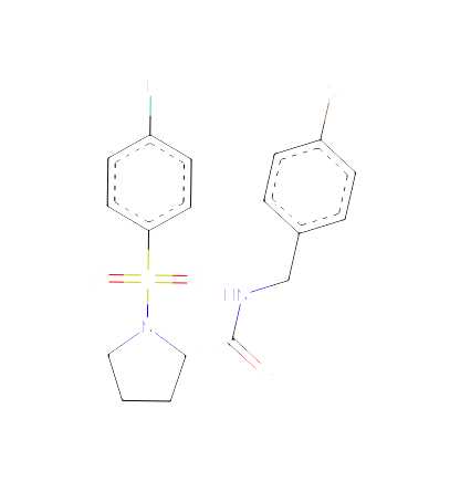 O=C(NCc1ccc(Br)cc1)[C@@H]1CCCN1S(=O)(=O)c1ccc(F)cc1